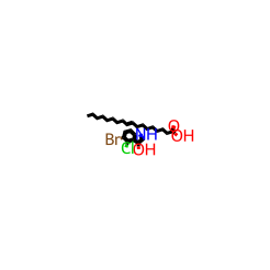 CCCCCCCCC=CCCCCCCCC(=O)O.Oc1c[nH]c2ccc(Br)c(Cl)c12